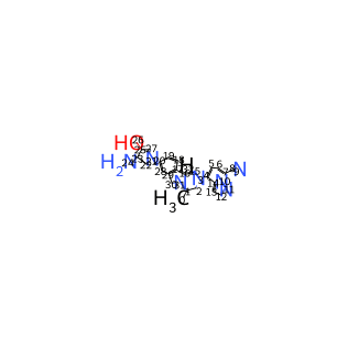 C[C@@H]1CN(c2ccc(C#N)n3nccc23)C[C@@H]2c3ccc(N4C[C@H](N)[C@@H](O)C4)cc3CN12